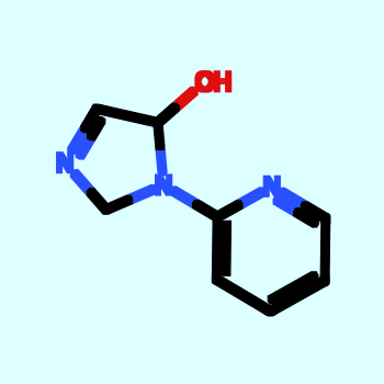 OC1C=NCN1c1ccccn1